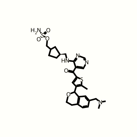 Cc1sc(C(=O)c2cncnc2NC[C@H]2CCC(COS(N)(=O)=O)C2)cc1C1OCCc2ccc(CN(C)C)cc21